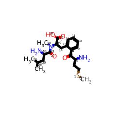 CSCCC(N)C(=O)c1ccccc1CC(C(=O)O)N(C)C(=O)C(N)CC(C)C